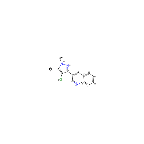 Cc1c(Cl)c(-c2cnc3ccccc3c2)nn1C(C)C